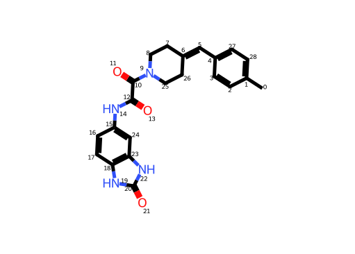 Cc1ccc(C=C2CCN(C(=O)C(=O)Nc3ccc4[nH]c(=O)[nH]c4c3)CC2)cc1